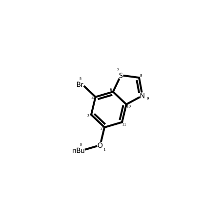 CCCCOc1cc(Br)c2scnc2c1